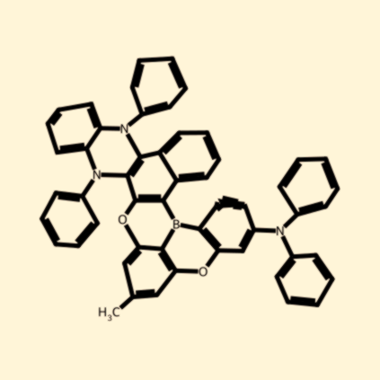 Cc1cc2c3c(c1)Oc1c4c(c5ccccc5c1B3c1c(cc(N(c3ccccc3)c3ccccc3)c3ccccc13)O2)N(c1ccccc1)c1ccccc1N4c1ccccc1